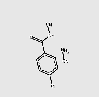 N#CN.N#CNC(=O)c1ccc(Cl)cc1